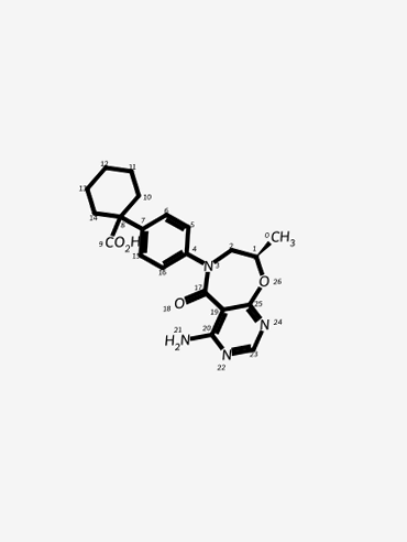 C[C@@H]1CN(c2ccc(C3(C(=O)O)CCCCC3)cc2)C(=O)c2c(N)ncnc2O1